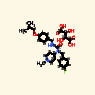 CC(C)COc1ccc(CNC(=O)N(Cc2ccc(F)cc2)C2CCN(C)CC2)cc1.O=C(O)C(O)C(O)C(=O)O